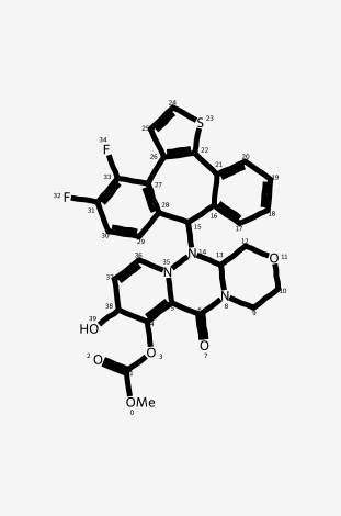 COC(=O)OC1=C2C(=O)N3CCOCC3N(C3c4ccccc4-c4sccc4-c4c3ccc(F)c4F)N2C=CC1O